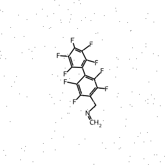 C=NCc1c(F)c(F)c(-c2c(F)c(F)c(F)c(F)c2F)c(F)c1F